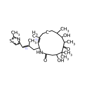 C/C1=C/C(C/C(C)=C/c2csc(C)n2)NC(=O)CC(O)C(C)(C)C(=O)C(C)C(O)C(C)CCC1